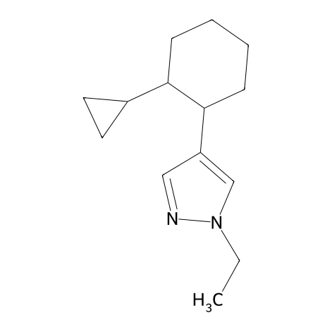 CCn1cc(C2CCCCC2C2CC2)cn1